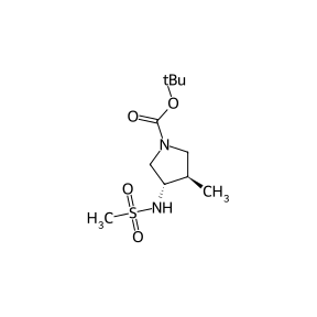 C[C@@H]1CN(C(=O)OC(C)(C)C)C[C@H]1NS(C)(=O)=O